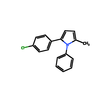 Cc1ccc(-c2ccc(Cl)cc2)n1-c1ccccc1